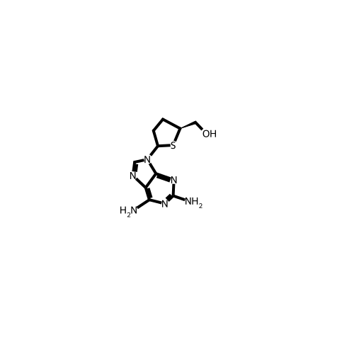 Nc1nc(N)c2ncn(C3CC[C@@H](CO)S3)c2n1